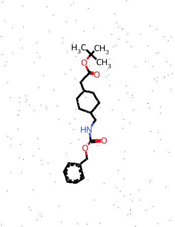 CC(C)(C)OC(=O)CC1CCC(CNC(=O)OCc2ccccc2)CC1